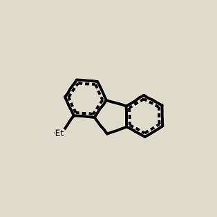 C[CH]c1cccc2c1Cc1ccccc1-2